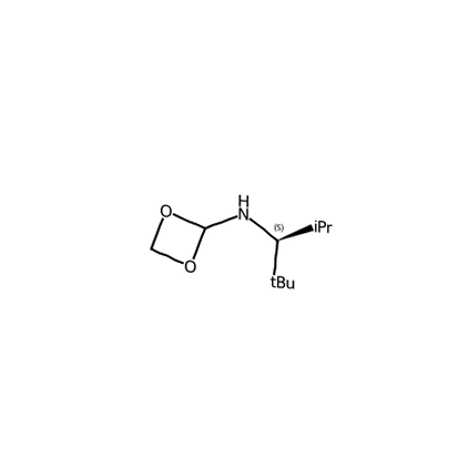 CC(C)[C@H](NC1OCO1)C(C)(C)C